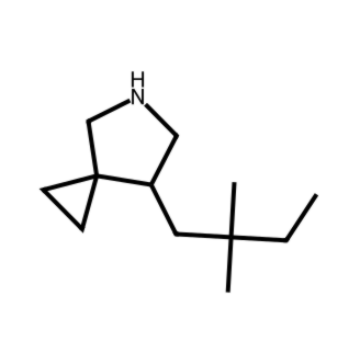 CCC(C)(C)CC1CNCC12CC2